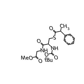 COC(=O)CNC(=O)C(CSC(=O)C(C)c1ccccc1)NC(=O)OC(C)(C)C